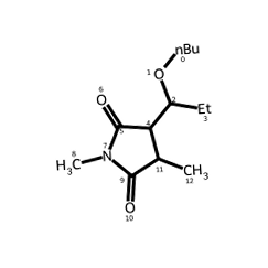 CCCCOC(CC)C1C(=O)N(C)C(=O)C1C